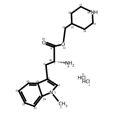 Cl.Cl.Cn1cc(C[C@@H](N)C(=O)OCC2CCNCC2)c2ccccc21